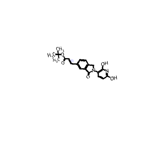 CC(C)(C)OC(=O)/C=C/c1ccc2c(c1)C(=O)N(c1ccc(O)nc1O)C2